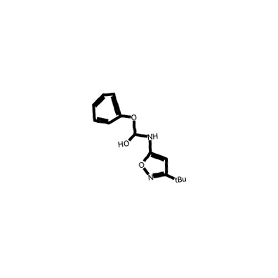 CC(C)(C)c1cc(NC(O)Oc2ccccc2)on1